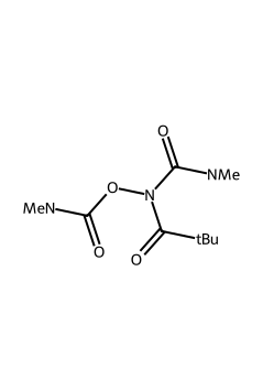 CNC(=O)ON(C(=O)NC)C(=O)C(C)(C)C